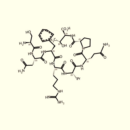 CC(C)[C@H](NC(=O)[C@H](CCCNC(=N)N)NC(=O)[C@H](Cc1ccccc1)NC(=O)[C@H](CC(N)=O)NC(=O)[C@@H](N)CO)C(=O)N[C@@H](CCC(N)=O)C(=O)N1CCC[C@H]1C(=O)N[C@H](C(=O)O)[C@@H](C)O